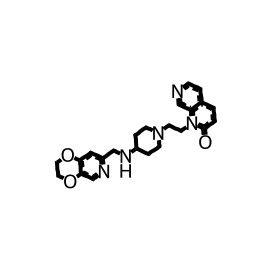 O=c1ccc2ccncc2n1CCN1CCC(NCc2cc3c(cn2)OCCO3)CC1